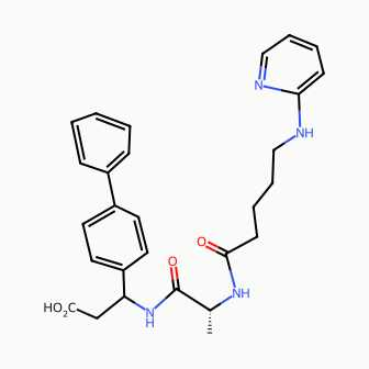 C[C@@H](NC(=O)CCCCNc1ccccn1)C(=O)NC(CC(=O)O)c1ccc(-c2ccccc2)cc1